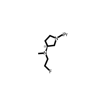 CC(C)N1CC[C@H](N(C)CCF)C1